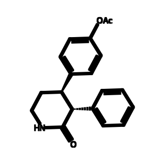 CC(=O)Oc1ccc([C@@H]2CCNC(=O)[C@H]2c2ccccc2)cc1